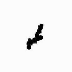 CN(C)c1ccc(-c2ncc(CN3CC[C@@H](C(=O)N4CCC(O)(Cn5cnc6c(ccn6-c6ccccc6)c5=O)CC4)[C@H](c4ccccc4)C3)s2)cn1